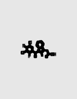 Cc1c(CC(=O)O)c2ccccc2n1C(=O)c1cc(Cl)c(F)c(Cl)c1F